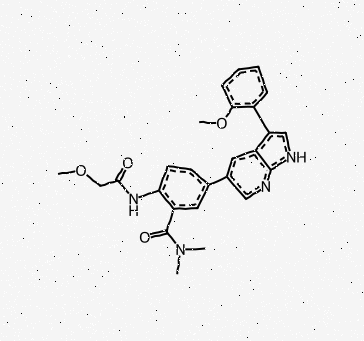 COCC(=O)Nc1ccc(-c2cnc3[nH]cc(-c4ccccc4OC)c3c2)cc1C(=O)N(C)C